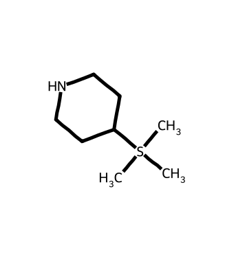 CS(C)(C)C1CCNCC1